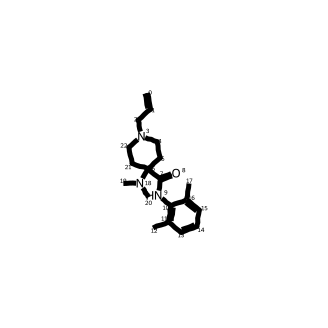 C=CCN1CCC(C(=O)Nc2c(C)cccc2C)(N(C)C)CC1